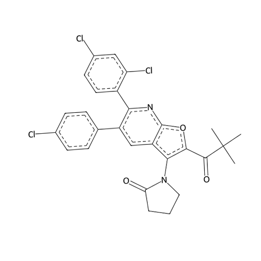 CC(C)(C)C(=O)c1oc2nc(-c3ccc(Cl)cc3Cl)c(-c3ccc(Cl)cc3)cc2c1N1CCCC1=O